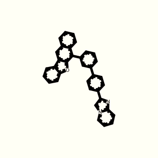 c1cc(-c2ccc(-c3cn4ccccc4n3)cc2)cc(-c2c3ccccc3cc3c2oc2ccccc23)c1